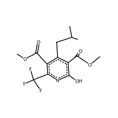 COC(=O)c1c(O)nc(C(F)(F)F)c(C(=O)OC)c1CC(C)C